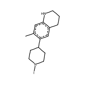 Cc1cc2c(cc1C1CCN(I)CC1)CCCN2